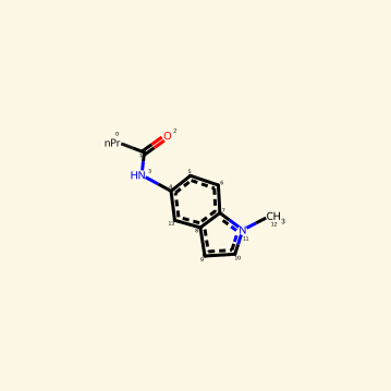 CCCC(=O)Nc1ccc2c(ccn2C)c1